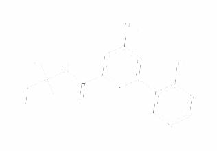 CC(C)c1ncncc1-c1cc(N)cc(C(=O)NC(C)(C)CO)c1